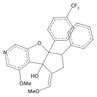 COC=C1CC(c2ccccc2)C2(c3ccc(C(F)(F)F)cc3)Oc3cncc(OC)c3C12O